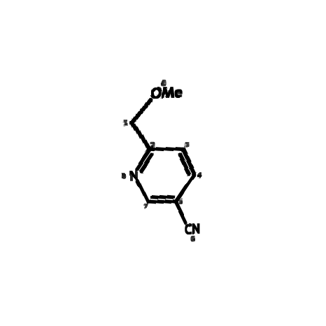 COCc1ccc(C#N)cn1